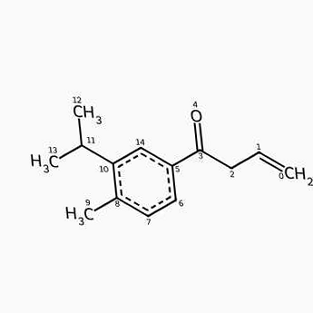 C=CCC(=O)c1ccc(C)c(C(C)C)c1